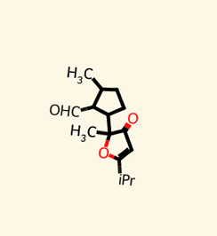 CC(C)C1=CC(=O)C(C)(C2CCC(C)C2C=O)O1